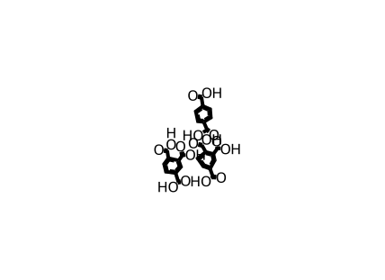 O=C(O)c1ccc(C(=O)O)c(C(=O)O)c1.O=C(O)c1ccc(C(=O)O)c(C(=O)O)c1.O=C(O)c1ccc(C(=O)O)cc1